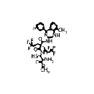 COC(=O)[C@@H](N)[C@H](S)NC(=O)[C@@](CCCC(F)(F)F)(CCC(F)(F)F)C(=O)N[C@H]1CNc2c(C)cccc2C(c2cccc(F)c2)=N1